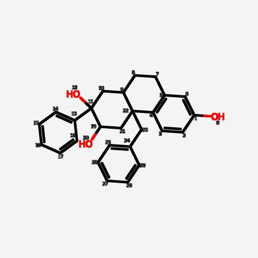 Oc1ccc2c(c1)CCC1CC(O)(c3ccccc3)C(O)CC21Cc1ccccc1